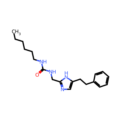 CCCCCCNC(=O)NCc1ncc(CCc2ccccc2)[nH]1